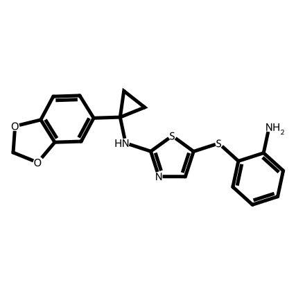 Nc1ccccc1Sc1cnc(NC2(c3ccc4c(c3)OCO4)CC2)s1